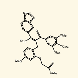 COC(=O)COc1cc(OC)ccc1CC(C(=O)c1cc(OC)c(OC)c(OC)c1)=C(C(=O)[O-])c1ccc2nsnc2c1.[Na+]